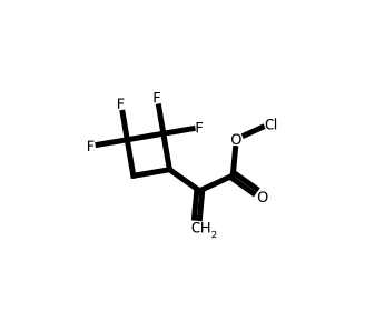 C=C(C(=O)OCl)C1CC(F)(F)C1(F)F